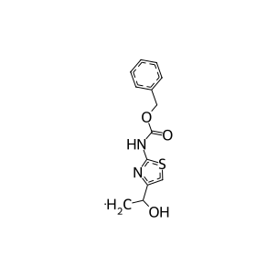 [CH2]C(O)c1csc(NC(=O)OCc2ccccc2)n1